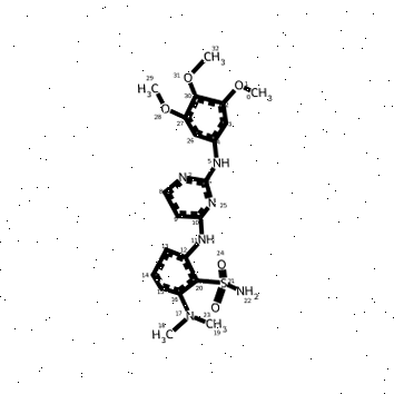 COc1cc(Nc2nccc(Nc3cccc(N(C)C)c3S(N)(=O)=O)n2)cc(OC)c1OC